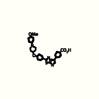 COc1ccc(N2CCC(Oc3ccc(-c4nn5c(-c6ccc(C(=O)O)cc6)cnc5s4)cc3)CC2)cc1